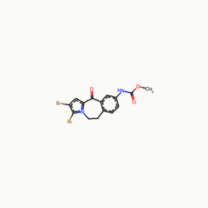 COC(=O)Nc1ccc2c(c1)C(=O)c1cc(Br)c(Br)n1CC2